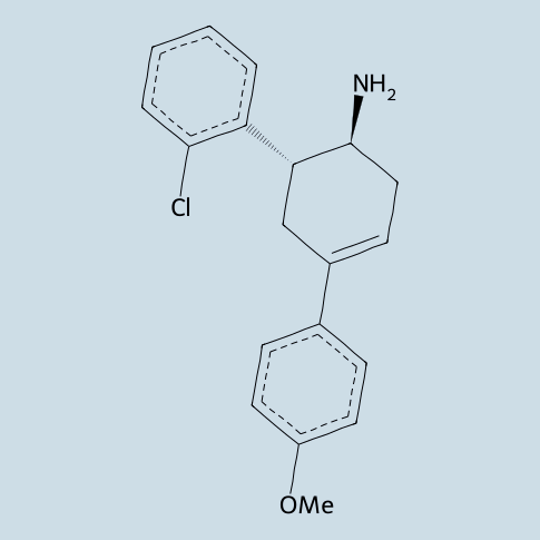 COc1ccc(C2=CC[C@H](N)[C@@H](c3ccccc3Cl)C2)cc1